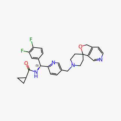 O=C(N[C@@H](c1ccc(F)c(F)c1)c1ccc(CN2CCC3(CC2)OCc2ccncc23)cn1)C1CC1